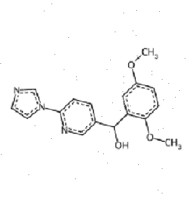 COc1ccc(OC)c(C(O)c2ccc(-n3ccnc3)nc2)c1